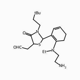 CCN(CCN)C1=C(C2SC(CC=O)C(=O)N2CCC(C)(C)C)C=CCC1